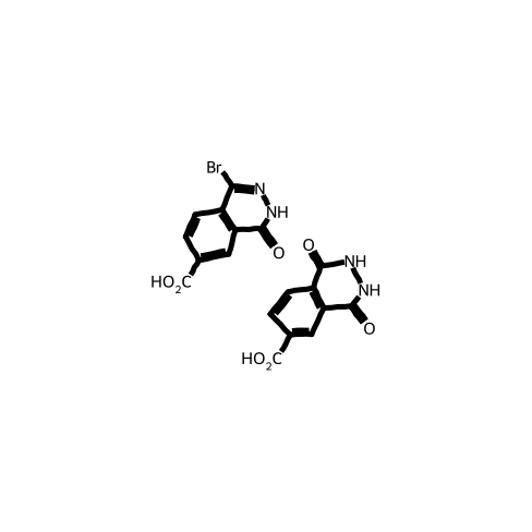 O=C(O)c1ccc2c(=O)[nH][nH]c(=O)c2c1.O=C(O)c1ccc2c(Br)n[nH]c(=O)c2c1